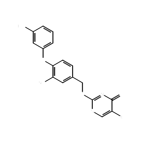 CCc1c[nH]c(SCc2ccc(Oc3cccc(C(F)(F)F)c3)c(C#N)c2)nc1=O